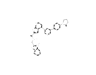 Cn1c(CNC(=O)c2cc3c(-c4cncc(-c5ccc(N6CCCC6=O)cc5)c4)ccnc3[nH]2)nc2ccccc21